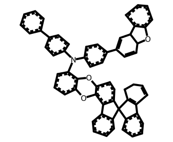 C1=CC2=C(CC1)C1(c3ccccc32)c2ccccc2-c2c1ccc1c2Oc2cccc(N(c3ccc(C4=CC5c6ccccc6OC5C=C4)cc3)c3ccc(-c4ccccc4)cc3)c2O1